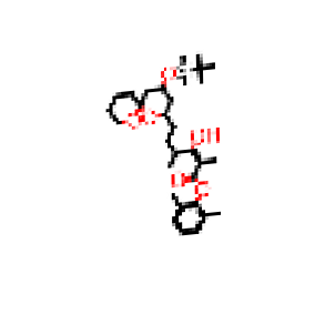 CC(C(=O)Oc1c(C)cccc1C)=C(O)C(C)CCC1CC(O[Si](C)(C)C(C)(C)C)CC2(CCCCO2)O1